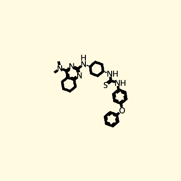 CN(C)c1nc(N[C@H]2CC[C@@H](NC(=S)Nc3ccc(Oc4ccccc4)cc3)CC2)nc2c1CCCC2